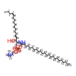 CCC/C=C\CCCCCCCC/C=C/[C@@H](O)[C@H](COP(=O)([O-])OCC[N+](C)(C)C)NC(=O)CCCCCCCCCCCCCCCCCCCCCCC